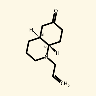 C=CCN1CCC[C@H]2CC(=O)CC[C@@H]21